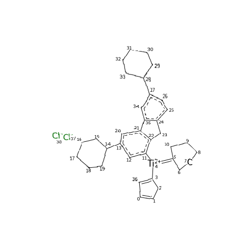 C1=CC[C]([Ti+2](=[C]2CCCCC2)[c]2cc(C3CCCCC3)cc3c2Cc2ccc(C4CCCCC4)cc2-3)=C1.[Cl-].[Cl-]